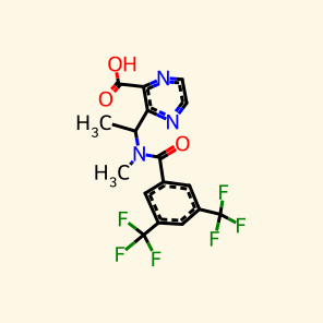 CC(c1nccnc1C(=O)O)N(C)C(=O)c1cc(C(F)(F)F)cc(C(F)(F)F)c1